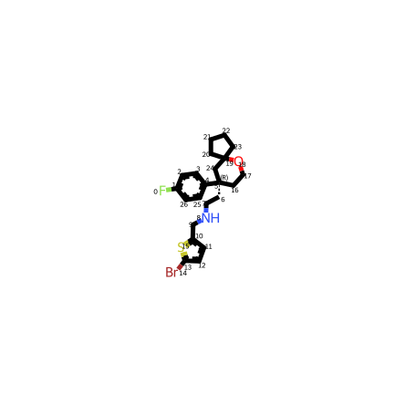 Fc1ccc([C@]2(CCNCc3ccc(Br)s3)CCOC3(CCCC3)C2)cc1